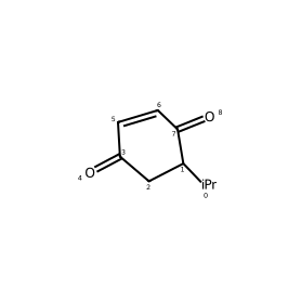 CC(C)C1CC(=O)C=CC1=O